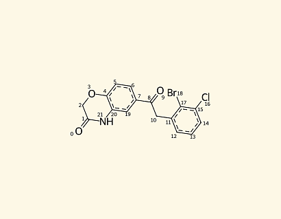 O=C1COc2ccc(C(=O)Cc3cccc(Cl)c3Br)cc2N1